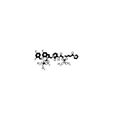 CN(C)C(=O)O[C@@H](CC/C=C/C(=O)N1CCCC1)C(=O)Nc1cccn(Cc2cc3cc(F)cc(OCc4ccc(F)cc4F)c3n2C(=O)OC(C)(C)C)c1=O